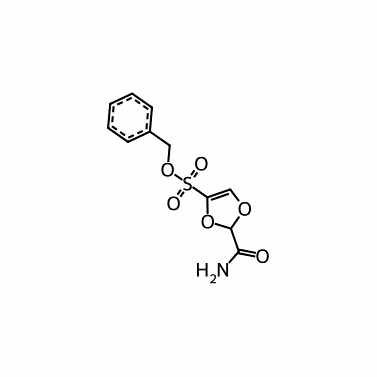 NC(=O)C1OC=C(S(=O)(=O)OCc2ccccc2)O1